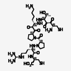 C[C@@H](O)[C@H](NN[C@@H](CCCCN)C(=O)C(=O)[C@@H]1CCCN1C(=O)[C@@H]1CCCN1N[C@@H](CCCNC(N)N)C(=O)N[C@@H](CS)C(=O)O)C(=O)C(=O)[C@@H](N)CS